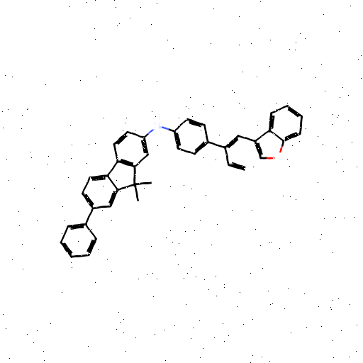 C=C/C(=C\c1coc2ccccc12)c1ccc(Nc2ccc3c(c2)C(C)(C)c2cc(-c4ccccc4)ccc2-3)cc1